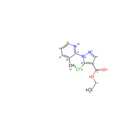 CCOC(=O)c1cnn(-c2ncccc2C)c1Cl